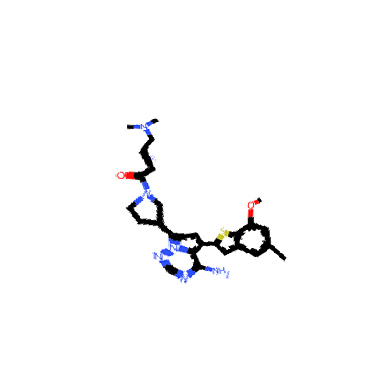 COc1cc(C)cc2cc(-c3cc(C4CCN(C(=O)/C=C/CN(C)C)C4)n4ncnc(N)c34)sc12